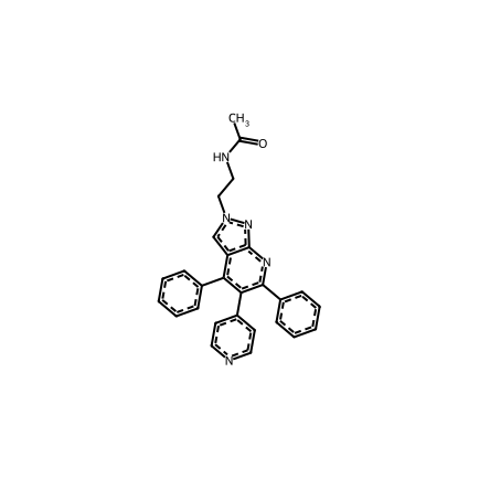 CC(=O)NCCn1cc2c(-c3ccccc3)c(-c3ccncc3)c(-c3ccccc3)nc2n1